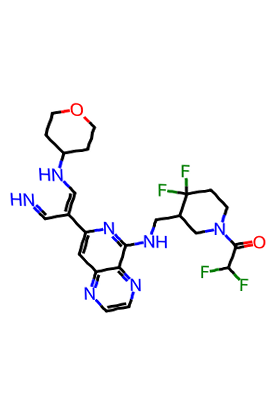 N=C/C(=C\NC1CCOCC1)c1cc2nccnc2c(NCC2CN(C(=O)C(F)F)CCC2(F)F)n1